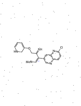 CN/C=C(\C(=N)COC1=CC=CNC1)c1cnc2ccc(Cl)nc2c1